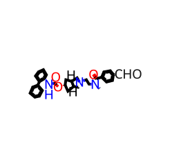 CN(CCN1C[C@H]2C[C@H](OC(=O)Nc3ccccc3-c3ccccc3)C[C@H]2C1)C(=O)c1ccc(C=O)cc1